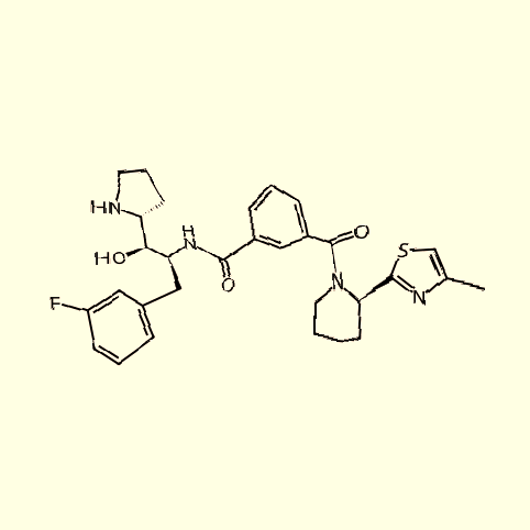 Cc1csc([C@H]2CCCN2C(=O)c2cccc(C(=O)N[C@@H](Cc3cccc(F)c3)[C@@H](O)[C@H]3CCCN3)c2)n1